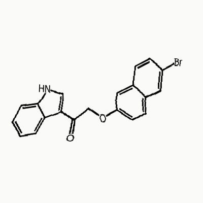 O=C(COc1ccc2cc(Br)ccc2c1)c1c[nH]c2ccccc12